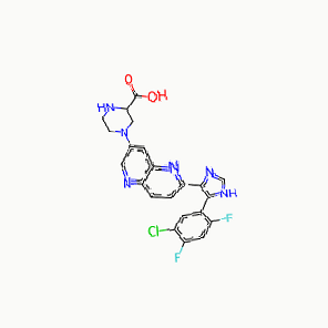 O=C(O)C1CN(c2cnc3ccc(-c4nc[nH]c4-c4cc(Cl)c(F)cc4F)nc3c2)CCN1